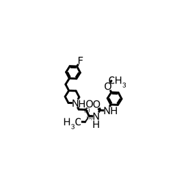 CC[C@H](NC(=O)Nc1cccc(OC)c1)[C@@H](O)CN1CCC(Cc2ccc(F)cc2)CC1